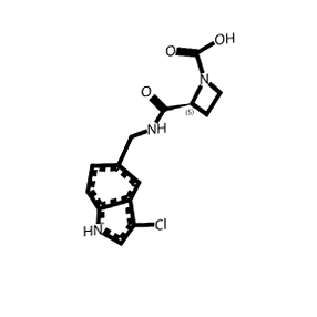 O=C(NCc1ccc2[nH]cc(Cl)c2c1)[C@@H]1CCN1C(=O)O